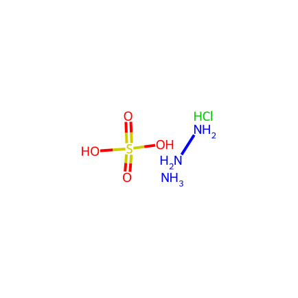 Cl.N.NN.O=S(=O)(O)O